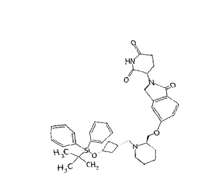 CC(C)(C)[Si](O[C@H]1C[C@@H](CN2CCCC[C@@H]2COc2ccc3c(c2)CN(C2CCC(=O)NC2=O)C3=O)C1)(c1ccccc1)c1ccccc1